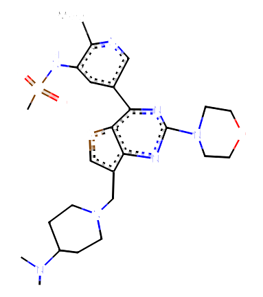 COc1ncc(-c2nc(N3CCOCC3)nc3c(CN4CCC(N(C)C)CC4)csc23)cc1NS(C)(=O)=O